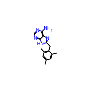 Cc1cc(C)c(Cc2nc3c(N)ncnc3[nH]2)c(C)c1